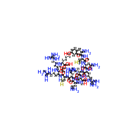 CCCC[C@H](NC(=O)[C@H](CCCNC(=N)N)NC(=O)[C@H](CCCNC(=N)N)NC(=O)[C@H](CS)NC(=O)[C@H](CCN)NC(=O)[C@@H](CCN)NC(=O)[C@@H](NC(=O)[C@H](CCN)NC(=O)[C@H](CCCNC(=N)N)NC(=O)[C@H](CC(N)=O)NC(=O)[C@H](CS)NC(=O)[C@@H](N)Cc1ccc(O)cc1)[C@@H](C)O)C(=O)O